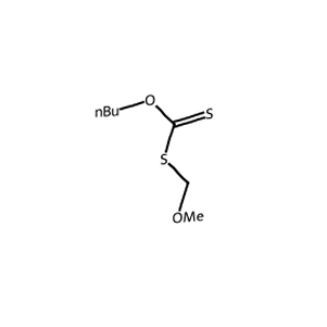 CCCCOC(=S)SCOC